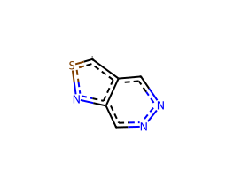 [c]1snc2cnncc12